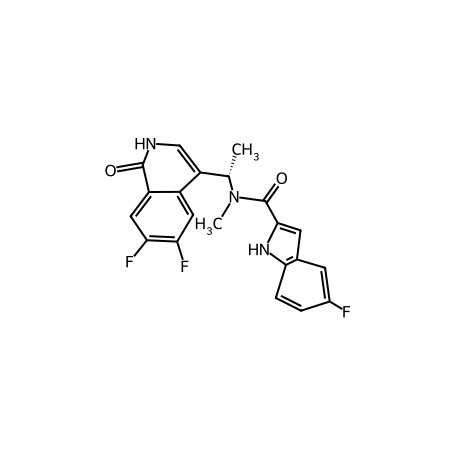 C[C@@H](c1c[nH]c(=O)c2cc(F)c(F)cc12)N(C)C(=O)c1cc2cc(F)ccc2[nH]1